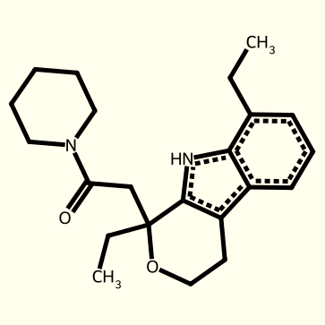 CCc1cccc2c3c([nH]c12)C(CC)(CC(=O)N1CCCCC1)OCC3